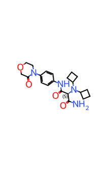 NC(=O)[C@@H](C(=O)Nc1ccc(N2CCOCC2=O)cc1)N(C1CCC1)C1CCC1